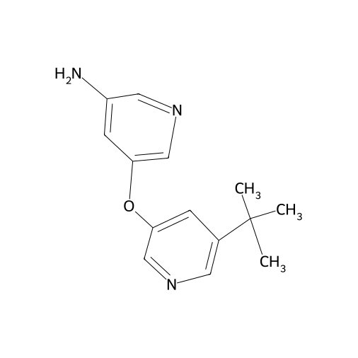 CC(C)(C)c1cncc(Oc2cncc(N)c2)c1